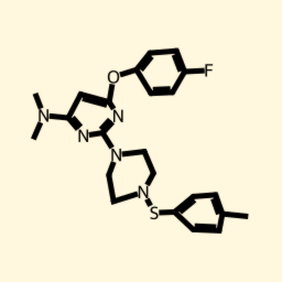 Cc1ccc(SN2CCN(c3nc(Oc4ccc(F)cc4)cc(N(C)C)n3)CC2)cc1